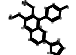 Cc1ccc(-c2c(CN)c(CC(C)C)nc3ccc(-c4n[c]cs4)cc23)cc1